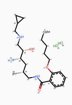 COCCCCOc1ccccc1C(=O)NC[C@@H](C[C@H](N)[C@@H](O)CNCC1CC1)C(C)C.Cl.Cl